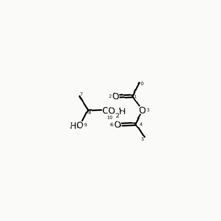 CC(=O)OC(C)=O.CC(O)C(=O)O